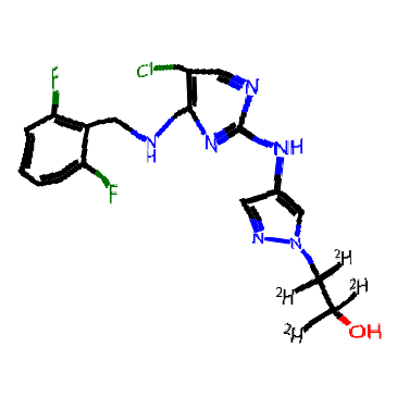 [2H]C([2H])(O)C([2H])([2H])n1cc(Nc2ncc(Cl)c(NCc3c(F)cccc3F)n2)cn1